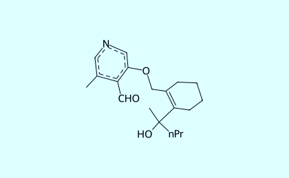 CCCC(C)(O)C1=C(COc2cncc(C)c2C=O)CCCC1